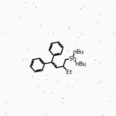 CCC[CH2][Sn]([CH2]CCC)[CH2]C(C=C(c1ccccc1)c1ccccc1)CC